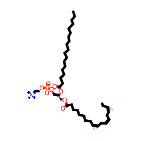 CC/C=C\C/C=C\C/C=C\CCCCCCCC(=O)OC[C@H](COP(=O)([O-])OCC[N+](C)(C)C)OC(=O)CCCCCCCCCCCCCCCCCC